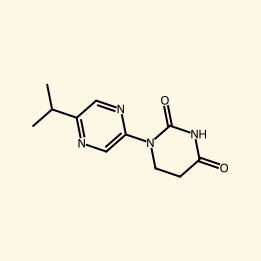 CC(C)c1cnc(N2CCC(=O)NC2=O)cn1